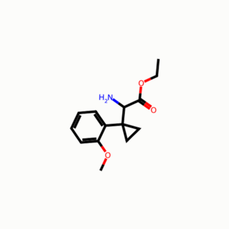 CCOC(=O)C(N)C1(c2ccccc2OC)CC1